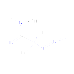 CN(C)C(=N)[N+](C)(C)N=[N+]=[N-]